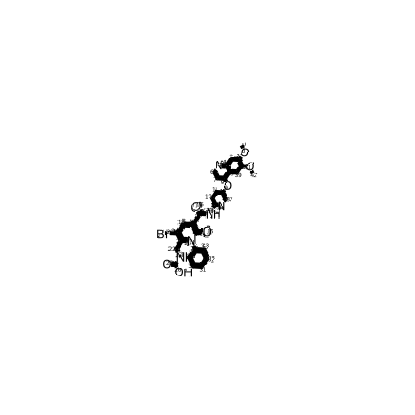 COc1cc2nccc(Oc3ccc(NC(=O)c4cc(Br)c(CNC(=O)O)n(-c5ccccc5)c4=O)nc3)c2cc1OC